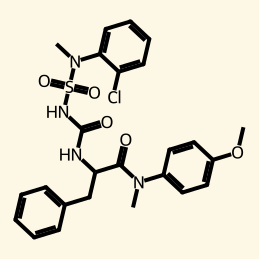 COc1ccc(N(C)C(=O)C(Cc2ccccc2)NC(=O)NS(=O)(=O)N(C)c2ccccc2Cl)cc1